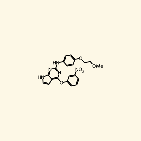 COCCOc1ccc(Nc2nc(Oc3cccc([N+](=O)[O-])c3)c3cc[nH]c3n2)cc1